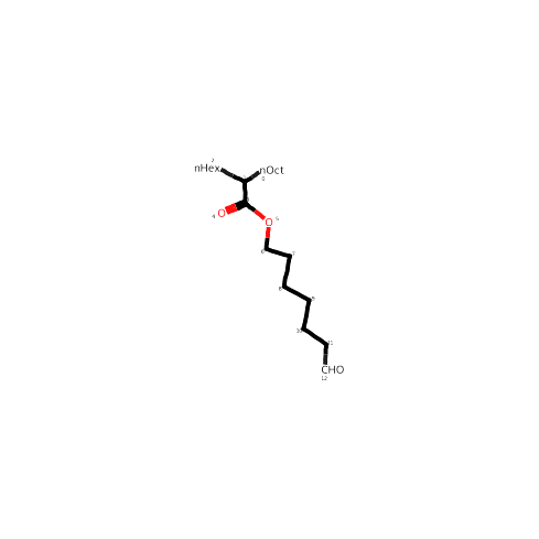 CCCCCCCCC(CCCCCC)C(=O)OCCCCCCC=O